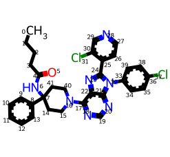 CCCCC(=O)NC1(c2ccccc2)CCN(c2ncnc3c2nc(-c2ccncc2Cl)n3-c2ccc(Cl)cc2)CC1